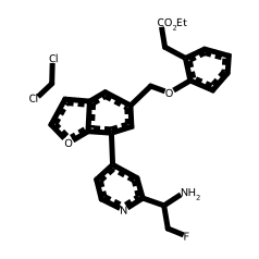 CCOC(=O)Cc1ccccc1OCc1cc(-c2ccnc(C(N)CF)c2)c2occc2c1.ClCCl